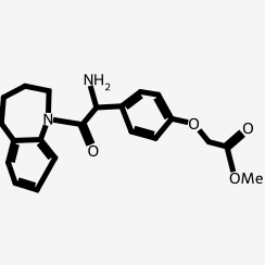 COC(=O)COc1ccc(C(N)C(=O)N2CCCCc3ccccc32)cc1